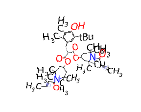 C/C=C/C(=O)N1C(C)(C)CC(OC(=O)C(Cc2cc(C(C)(C)C)c(O)c(C)c2C)C(=O)OC2CC(C)(C)N(C(=O)/C=C/C)C(C)(C)C2)CC1(C)C